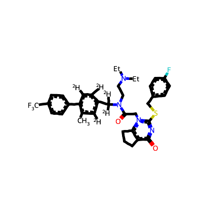 [2H]c1c([2H])c(C([2H])([2H])N(CCN(CC)CC)C(=O)Cn2c(SCc3ccc(F)cc3)nc(=O)c3c2CCC3)c([2H])c(C)c1-c1ccc(C(F)(F)F)cc1